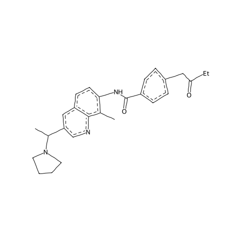 CCC(=O)Cc1ccc(C(=O)Nc2ccc3cc(C(C)N4CCCC4)cnc3c2C)cc1